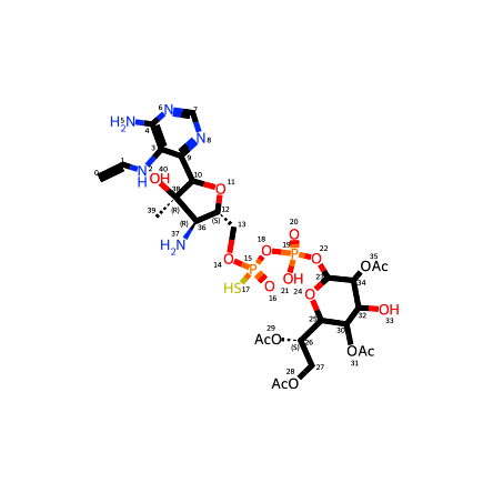 C=CNc1c(N)ncnc1C1O[C@H](COP(=O)(S)OP(=O)(O)OC2OC([C@H](COC(C)=O)OC(C)=O)C(OC(C)=O)C(O)C2OC(C)=O)[C@@H](N)[C@@]1(C)O